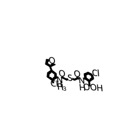 Cc1ccc(-c2ccoc2)cc1NC(=O)CSCC(=O)Nc1ccc(Cl)cc1C(=O)O